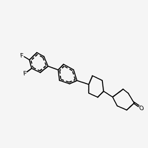 O=C1CCC(C2CCC(c3ccc(-c4ccc(F)c(F)c4)cc3)CC2)CC1